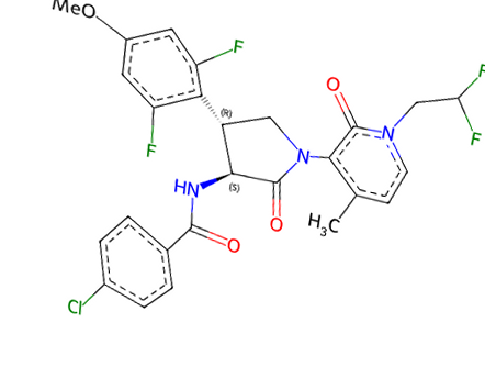 COc1cc(F)c([C@@H]2CN(c3c(C)ccn(CC(F)F)c3=O)C(=O)[C@H]2NC(=O)c2ccc(Cl)cc2)c(F)c1